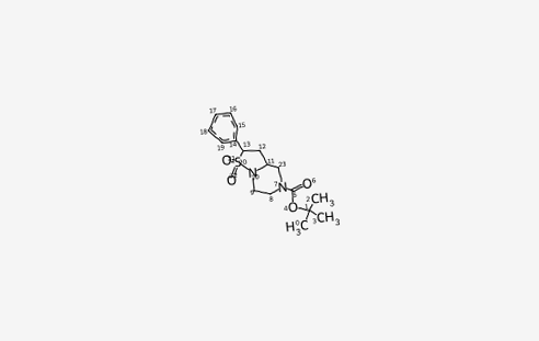 CC(C)(C)OC(=O)N1CCN2C(CC(c3ccccc3)S2(=O)=O)C1